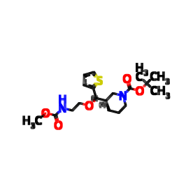 COC(=O)NCCO[C@@H](c1cccs1)[C@@H]1CCCN(C(=O)OC(C)(C)C)C1